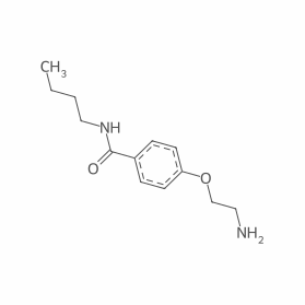 CCCCNC(=O)c1ccc(OCCN)cc1